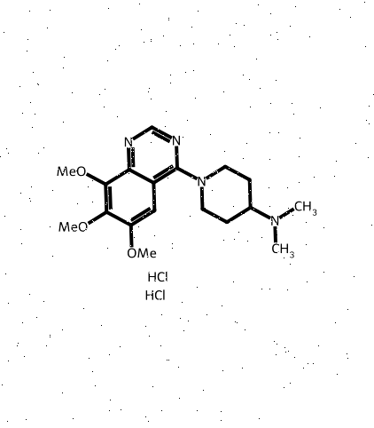 COc1cc2c(N3CCC(N(C)C)CC3)ncnc2c(OC)c1OC.Cl.Cl